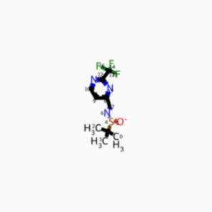 CC(C)(C)[S+]([O-])/N=C/c1ccnc(C(F)(F)F)n1